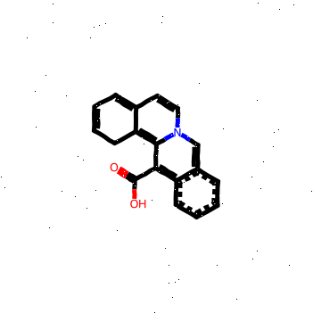 O=C(O)C1=c2ccccc2=CN2C=CC3=CC=CCC3=C12